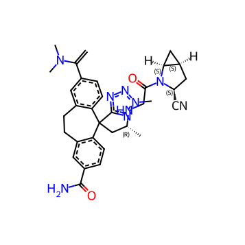 C=C(c1ccc2c(c1)CCc1cc(C(N)=O)ccc1C2(C[C@@H](C)NCC(=O)N1[C@H](C#N)C[C@@H]2C[C@@H]21)c1nnn(C)n1)N(C)C